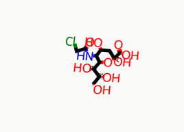 O=C(CCl)NC1C(O)C[C@@](O)(C(=O)O)OC1[C@H](O)[C@H](O)CO